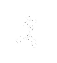 c1cc(-c2nc(-c3ccc4ccccc4c3)nc(-c3ccc4ccccc4c3)n2)cc(-c2cccc3c2C2(c4ccccc4-c4ccccc42)c2ccccc2-3)c1